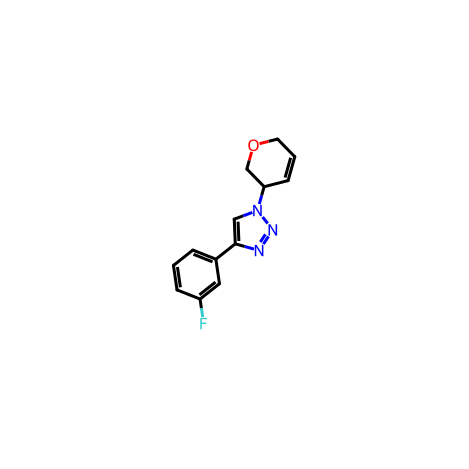 Fc1cccc(-c2cn(C3C=CCOC3)nn2)c1